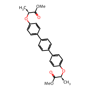 COC(=O)[C@H](C)Oc1ccc(-c2ccc(-c3ccc(O[C@@H](C)C(=O)OC)cc3)cc2)cc1